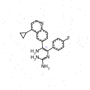 NC(N)=N/C(=C(\N)c1ccc2nccc(C3CC3)c2c1)c1ccc(F)cc1